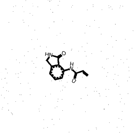 C=CC(=O)Nc1cccc2c1C(=O)NC2